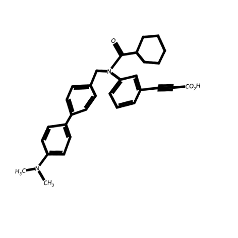 CN(C)c1ccc(-c2ccc(CN(C(=O)C3CCCCC3)c3cccc(C#CC(=O)O)c3)cc2)cc1